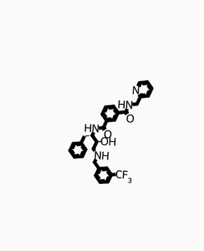 O=C(NCc1ccccn1)c1cccc(C(=O)N[C@@H](Cc2ccccc2)[C@H](O)CNCc2cccc(C(F)(F)F)c2)c1